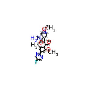 COc1cc(-c2ncc(F)cn2)cc(C)c1C(C=O)C(=O)CC1(CN)CCN(OC)CC1